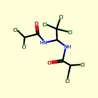 O=C(NC(NC(=O)C(Cl)Cl)C(Cl)(Cl)Cl)C(Cl)Cl